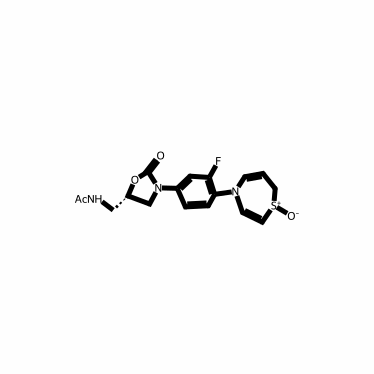 CC(=O)NC[C@H]1CN(c2ccc(N3C=CC[S+]([O-])C=C3)c(F)c2)C(=O)O1